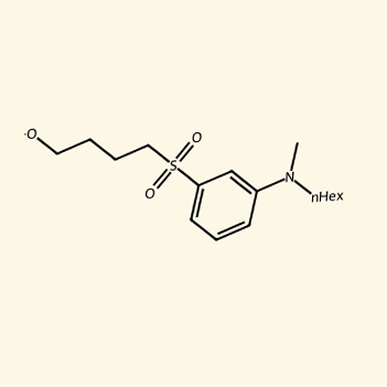 CCCCCCN(C)c1cccc(S(=O)(=O)CCCC[O])c1